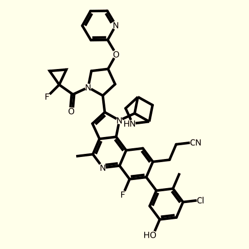 Cc1c(Cl)cc(O)cc1-c1c(CCC#N)cc2c(nc(C)c3cc(C4CC(Oc5ccccn5)CN4C(=O)C4(F)CC4)n(C4C5CNC4C5)c32)c1F